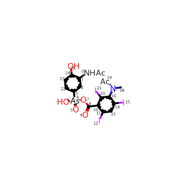 CC(=O)Nc1cc([As](=O)(O)OC(=O)c2c(I)cc(I)c(N(C)C(C)=O)c2I)ccc1O